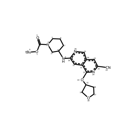 CC(C)(C)OC(=O)N1CCCC(Nc2cc3c(OC4CCOC4)nc(C#N)cc3cn2)C1